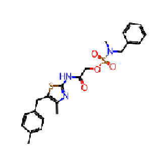 Cc1ccc(Cc2sc(NC(=O)COS(=O)(=O)N(C)Cc3ccccc3)nc2C)cc1